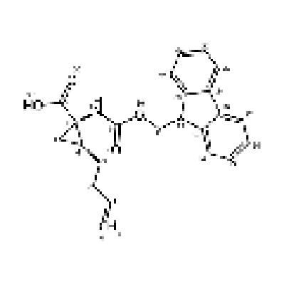 C=CCC[C@H]1C[C@]1(NC(=O)OCC1c2ccccc2-c2ccccc21)C(=O)O